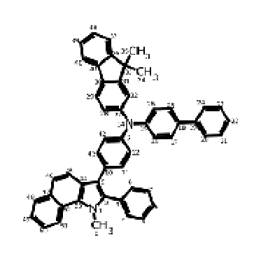 Cn1c(-c2ccccc2)c(-c2ccc(N(c3ccc(-c4ccccc4)cc3)c3ccc4c(c3)C(C)(C)c3ccccc3-4)cc2)c2ccc3ccccc3c21